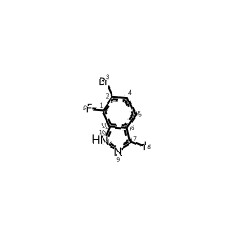 Fc1c(Br)ccc2c(I)n[nH]c12